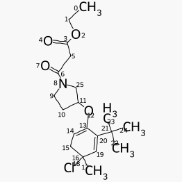 CCOC(=O)CC(=O)N1CCC(OC2=CCC(C)(Cl)C=C2C(C)(C)C)C1